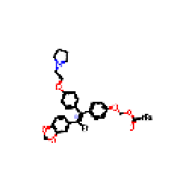 CC/C(=C(/c1ccc(OCCN2CCCC2)cc1)c1ccc(OCOC(=O)C(C)(C)C)cc1)c1ccc2c(c1)OCO2